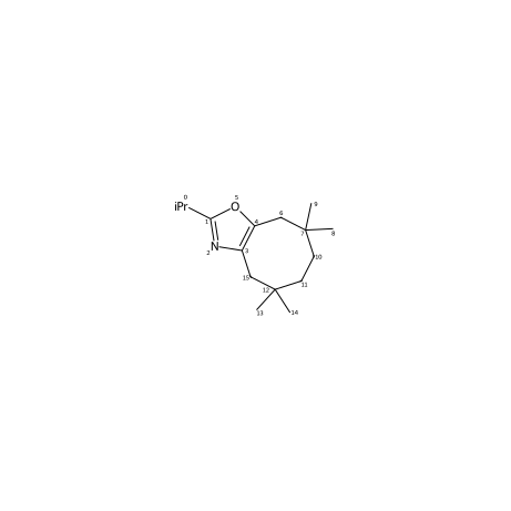 CC(C)c1nc2c(o1)CC(C)(C)CCC(C)(C)C2